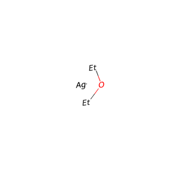 CCOCC.[Ag]